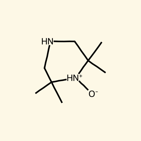 CC1(C)CNCC(C)(C)[NH+]1[O-]